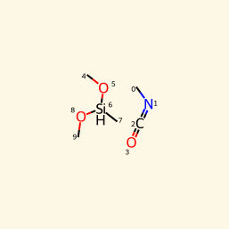 CN=C=O.CO[SiH](C)OC